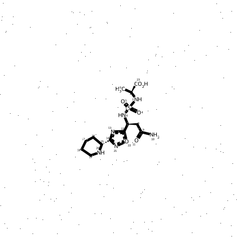 C[C@H](NS(=O)(=O)N[C@@H](CC(N)=O)c1nc([C@H]2CCCCN2)no1)C(=O)O